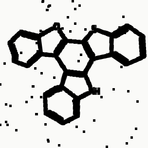 c1ccc2c(c1)[nH]c1c3c4ccccc4sc3c3oc4ccccc4c3c21